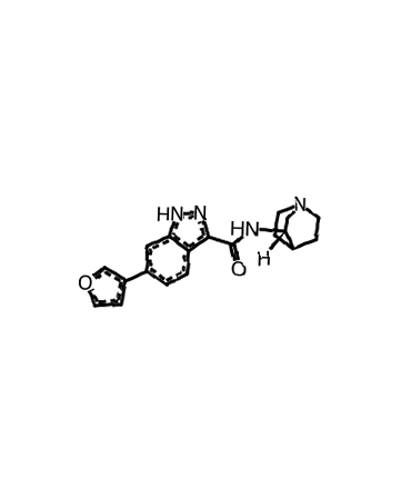 O=C(N[C@@H]1CN2CCC1CC2)c1n[nH]c2cc(-c3ccoc3)ccc12